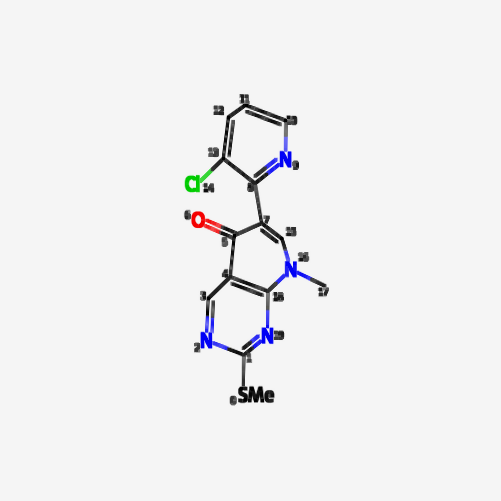 CSc1ncc2c(=O)c(-c3ncccc3Cl)cn(C)c2n1